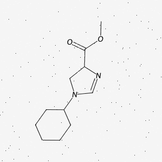 COC(=O)C1CN(C2CCCCC2)C=N1